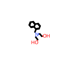 OCCN(CCO)Cc1cccc2ccccc12